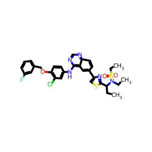 CCC(c1nc(-c2ccc3ncnc(Nc4ccc(OCc5cccc(F)c5)c(Cl)c4)c3c2)cs1)N(CC)S(=O)(=O)CC